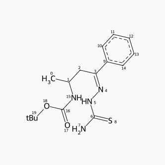 CC(CC(=NNC(N)=S)c1ccccc1)NC(=O)OC(C)(C)C